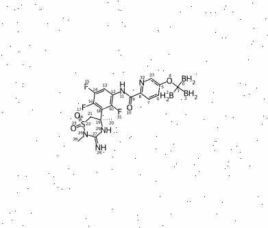 BC(B)(B)Oc1ccc(C(=O)Nc2cc(F)c(F)c([C@]3(C)CS(=O)(=O)N(C)C(=N)N3)c2F)nc1